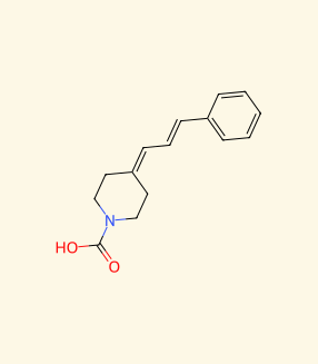 O=C(O)N1CCC(=CC=Cc2ccccc2)CC1